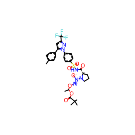 Cc1ccc(-c2cc(C(F)(F)F)nn2-c2ccc(S(=O)(=O)NC(=O)[C@@H]3CCCN3/[N+]([O-])=N/OC(C)OC(=O)C(C)(C)C)cc2)cc1